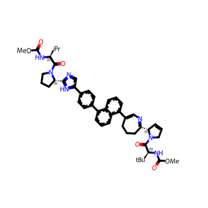 COC(=O)N[C@H](C(=O)N1CCC[C@H]1c1ncc(-c2ccc(-c3cccc4c(C5=CN=C([C@@H]6C=CCN6C(=O)[C@@H](NC(=O)OC)C(C)(C)C)CCC5)cccc34)cc2)[nH]1)C(C)C